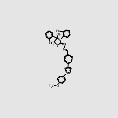 CC(C)c1ccccc1N1C(=NN=Cc2ccc(-c3ncn(-c4ccc(OC(F)(F)F)cc4)n3)cc2)SCC1(O)c1ccccc1C(F)(F)F